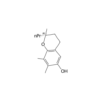 CCC[C@]1(C)CCc2cc(O)c(C)c(C)c2O1